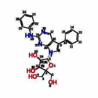 OCC1(CO)O[C@@H](n2cc(-c3ccccc3)c3cnc(Nc4ccccc4)nc32)[C@H](O)[C@@H]1O